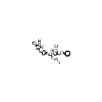 CC(COc1ccc(CC2SC(=O)NC2=O)cc1)NCC(O)COc1ccccc1